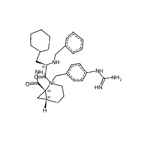 N=C(N)Nc1ccc(C[N+]2(C(=O)[C@@H](CC3CCCCC3)NCc3ccccc3)CCC[C@@H]3C[C@@]32C(N)=O)cc1